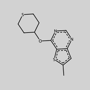 Cc1cc2ncnc(OC3CCSCC3)c2s1